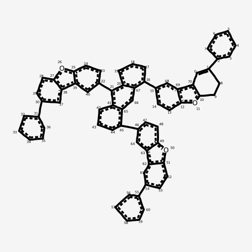 C1=C(c2ccccc2)CCc2oc3ccc(-c4cccc5c(-c6ccc7oc8ccc(-c9ccccc9)cc8c7c6)c6cccc(-c7ccc8oc9ccc(-c%10ccccc%10)cc9c8c7)c6cc45)cc3c21